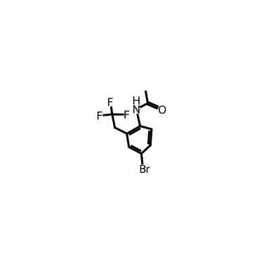 CC(=O)Nc1ccc(Br)cc1CC(F)(F)F